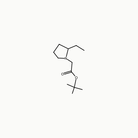 CCC1CCCN1CC(=O)OC(C)(C)C